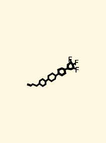 C=CCCC1CCC(C2CCC(c3ccc(-c4cc(F)c(F)c(F)c4)cc3)CC2)CC1